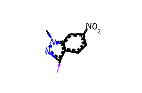 Cn1nc(I)c2ccc([N+](=O)[O-])cc21